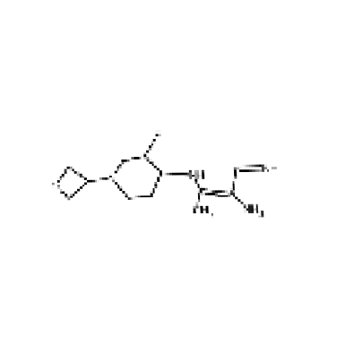 C/C(NC1CCN(C2COC2)CC1F)=C(\N)C=N